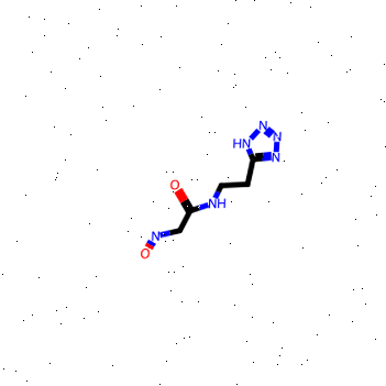 O=NCC(=O)NCCc1nnn[nH]1